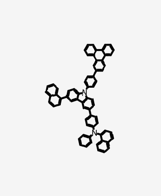 c1ccc(N(c2ccc(-c3ccc4c(c3)c3cc(-c5cccc6ccccc56)ccc3n4-c3ccc(-c4ccc5c6ccccc6c6ccccc6c5c4)cc3)cc2)c2cccc3ccccc23)cc1